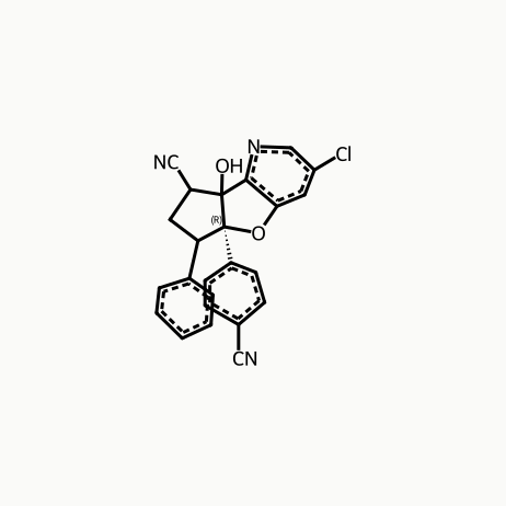 N#Cc1ccc([C@@]23Oc4cc(Cl)cnc4C2(O)C(C#N)CC3c2ccccc2)cc1